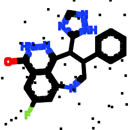 O=c1[nH]nc2c3c(cc(F)cc13)N=CC(c1ccccc1)C2c1ncn[nH]1